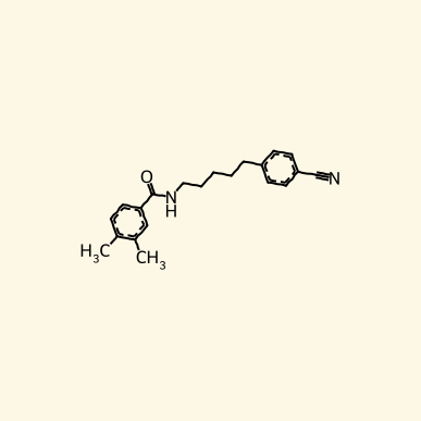 Cc1ccc(C(=O)NCCCCCc2ccc(C#N)cc2)cc1C